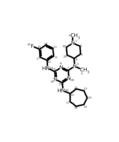 CN1CCC(N(C)c2nc(Nc3cccc(F)c3)nc(NC3CCCCCC3)n2)CC1